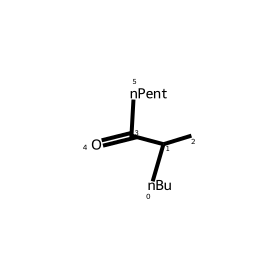 [CH2]CCCC(C)C(=O)CCCCC